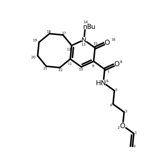 C=COCCCNC(=O)c1cc2c(n(CCCC)c1=O)CCCCCC2